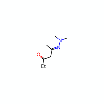 CCC(=O)C/C(C)=N/N(C)C